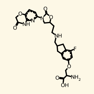 NC(COc1cc(F)c2c(c1)CC(CNCCC1CN(c3ccc4c(n3)NC(=O)CO4)C(=O)O1)C2)C(=O)O